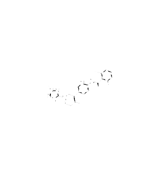 Cn1nnc(N2CCC(Cl)=C(c3ccc(NC(=O)c4c(F)cccc4F)nc3)C2)n1